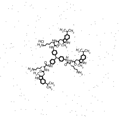 Cc1[nH]c2ccc(C(C)C)cc2c1CC(=O)N[C@H](CCCCN)C(=O)Nc1ccc(C(c2ccc(NC(=O)[C@@H](CCCCN)NC(=O)Cc3c(C)[nH]c4ccc(C(C)C)cc34)cc2)c2ccc(NC(=O)[C@@H](CCCCN)NC(=O)Cc3c(C)[nH]c4ccc(C(C)C)cc34)cc2)cc1.Cl